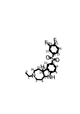 CCN1CCC2Nc3ccc(S(=O)(=O)c4ccc(F)c(F)c4)cc3[C@H]2CC1